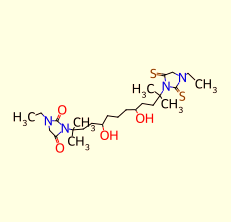 CCN1CC(=O)N(C(C)(C)CCC(O)CCCC(O)CCC(C)(C)N2C(=S)CN(CC)C2=S)C1=O